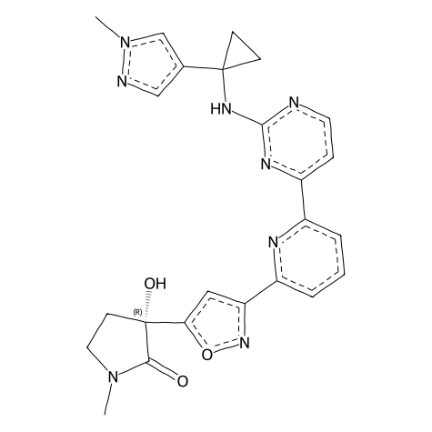 CN1CC[C@@](O)(c2cc(-c3cccc(-c4ccnc(NC5(c6cnn(C)c6)CC5)n4)n3)no2)C1=O